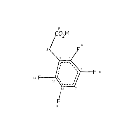 O=C(O)Cc1c(F)c(F)cc(F)c1F